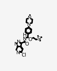 CN1CCN(c2ccc(C(NC(=O)C3=NN=C4CN=C(Cl)C=C43)OCC[Si](C)(C)C)cc2)CC1